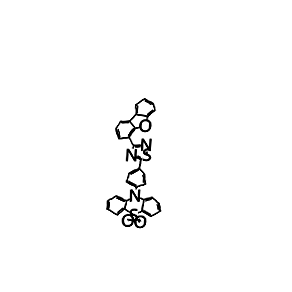 O=S1(=O)c2ccccc2N(c2ccc(-c3nc(-c4cccc5c4oc4ccccc45)ns3)cc2)c2ccccc21